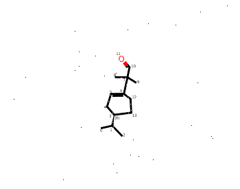 CC(C)[C@H]1CC=C(C(C)(C)C=O)CC1